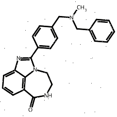 CN(Cc1ccccc1)Cc1ccc(-c2nc3cccc4c3n2CCNC4=O)cc1